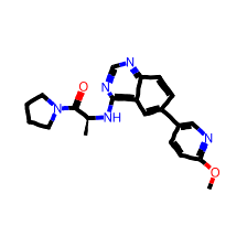 COc1ccc(-c2ccc3ncnc(N[C@@H](C)C(=O)N4CCCC4)c3c2)cn1